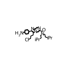 CC(C)CCN(CCC(C)C)C(=O)c1cn2c(CCCCl)c(-c3ccc(N)cc3)nc2cn1